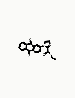 CCOC(=O)c1nccn1-c1ccc2c(c1)C(=O)c1ccccc1C2=O